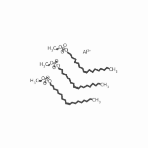 CCCCCCCC/C=C\CCCCCCCCOP(=O)([O-])OCC.CCCCCCCC/C=C\CCCCCCCCOP(=O)([O-])OCC.CCCCCCCC/C=C\CCCCCCCCOP(=O)([O-])OCC.[Al+3]